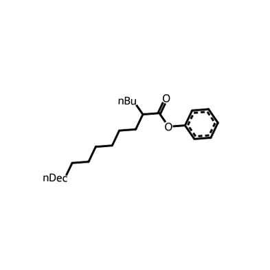 CCCCCCCCCCCCCCCCC(CCCC)C(=O)Oc1ccccc1